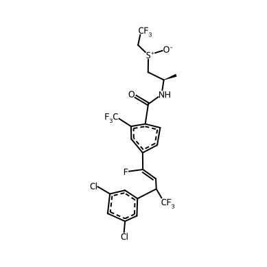 C[C@H](C[S+]([O-])CC(F)(F)F)NC(=O)c1ccc(/C(F)=C/C(c2cc(Cl)cc(Cl)c2)C(F)(F)F)cc1C(F)(F)F